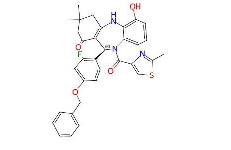 Cc1nc(C(=O)N2c3cccc(O)c3NC3=C(C(=O)CC(C)(C)C3)[C@@H]2c2ccc(OCc3ccccc3)cc2F)cs1